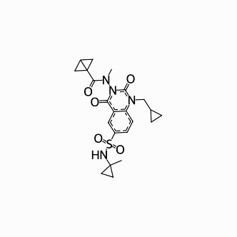 CN(C(=O)C12CC1C2)n1c(=O)c2cc(S(=O)(=O)NC3(C)CC3)ccc2n(CC2CC2)c1=O